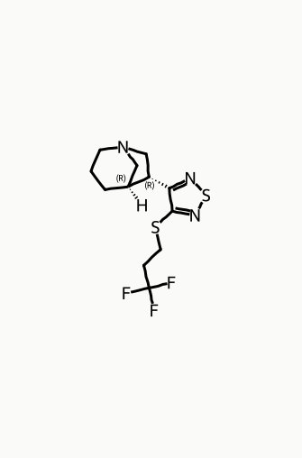 FC(F)(F)CCSc1nsnc1[C@H]1CN2CCC[C@H]1C2